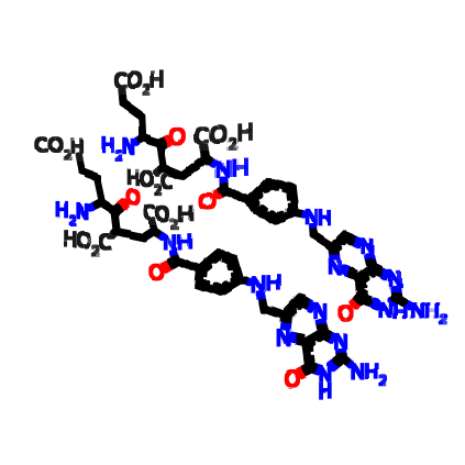 Nc1nc2ncc(CNc3ccc(C(=O)NC(CC(C(=O)O)C(=O)C(N)CCC(=O)O)C(=O)O)cc3)nc2c(=O)[nH]1.Nc1nc2ncc(CNc3ccc(C(=O)NC(CC(C(=O)O)C(=O)C(N)CCC(=O)O)C(=O)O)cc3)nc2c(=O)[nH]1